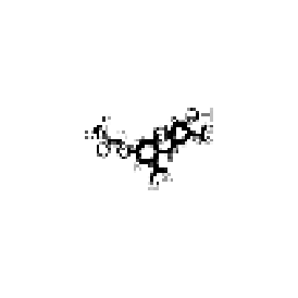 CC(C)c1cc(Cc2c(Cl)cc(OCC(=O)N(C)C)cc2C(C)C)ccc1O